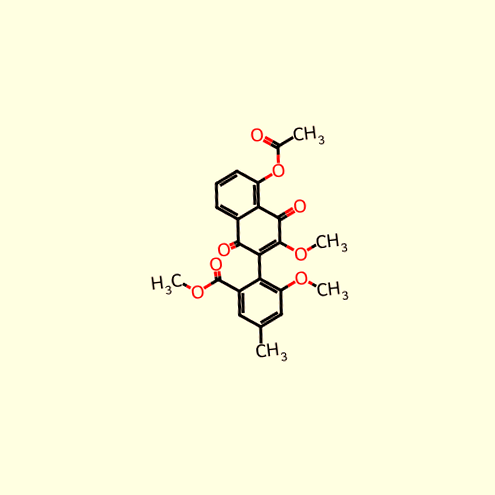 COC(=O)c1cc(C)cc(OC)c1C1=C(OC)C(=O)c2c(OC(C)=O)cccc2C1=O